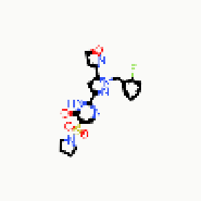 O=c1[nH]c(-c2cc(-c3ccon3)n(Cc3ccccc3F)n2)ncc1S(=O)(=O)N1CCCC1